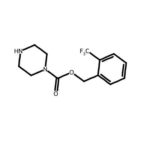 O=C(OCc1ccccc1C(F)(F)F)N1CCNCC1